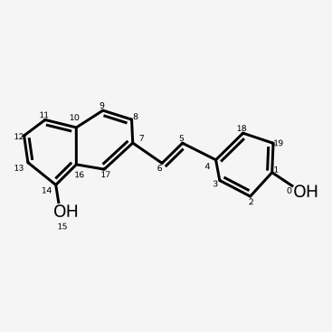 Oc1ccc(/C=C/c2ccc3cccc(O)c3c2)cc1